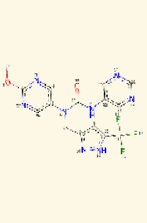 COc1ncc(N(Cc2cc(C(F)(F)F)[nH]n2)C(=O)Nc2cncnc2)cn1